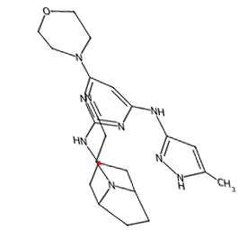 Cc1cc(Nc2cc(N3CCOCC3)nc(NC3CC4CCC(C3)N4CCC#N)n2)n[nH]1